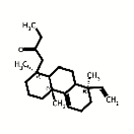 C=C[C@@]1(C)CCC=C2C1CCC1[C@](C)(CC(=O)CC)CCC[C@@]21C